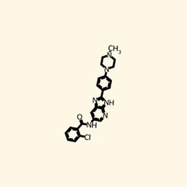 CN1CCN(c2ccc(-c3nc4cc(NC(=O)c5ccccc5Cl)cnc4[nH]3)cc2)CC1